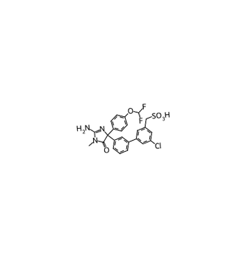 CN1C(=O)C(c2ccc(OC(F)F)cc2)(c2cccc(-c3cc(Cl)cc(CS(=O)(=O)O)c3)c2)N=C1N